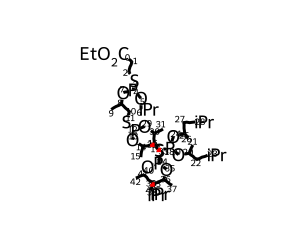 CCOC(=O)CCSP(OC(C)C)OC(C)CSP(OC(C)CSP(OC(C)CC(C)C)OC(C)CC(C)C)OC(C)CSP(OC(C)CC(C)C)OC(C)CC(C)C